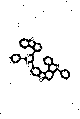 c1ccc(-c2nc(-c3ccc4oc5ccc6c(-c7ccccc7)nc7ccccc7c6c5c4c3)cc(-c3cccc4sc5ccccc5c34)n2)cc1